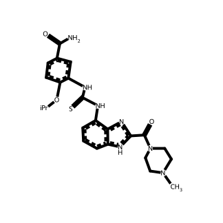 CC(C)Oc1ccc(C(N)=O)cc1NC(=S)Nc1cccc2[nH]c(C(=O)N3CCN(C)CC3)nc12